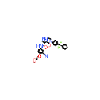 COCCOc1ccc(NC(=O)c2cnn3c2C(=O)N(c2ccc(C(F)(F)c4ccccc4)cc2)[C@@H](C)C3)cc1C#N